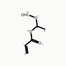 C=CC(=O)OC(C)O[C]=O